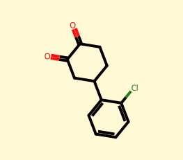 O=C1CCC(c2ccccc2Cl)CC1=O